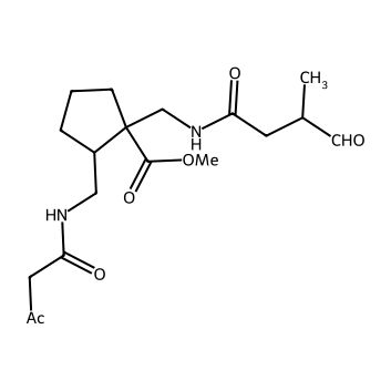 COC(=O)C1(CNC(=O)CC(C)C=O)CCCC1CNC(=O)CC(C)=O